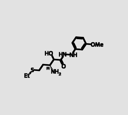 CCSCC[C@@H](N)C(O)C(=O)NNc1cccc(OC)c1